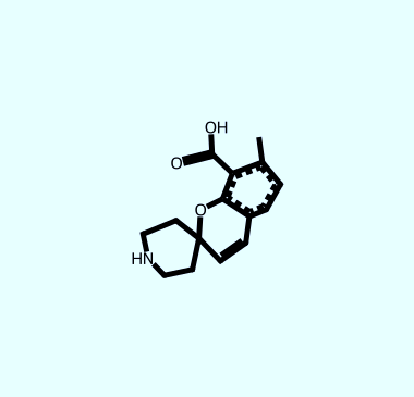 Cc1ccc2c(c1C(=O)O)OC1(C=C2)CCNCC1